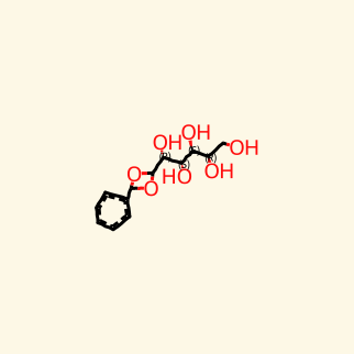 OC[C@@H](O)[C@H](O)[C@H](O)[C@@H](O)C1OC(c2ccccc2)O1